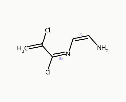 C=C(Cl)/C(Cl)=N\C=C/N